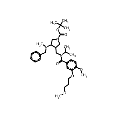 COCCCOc1cc(C(=O)N(CC2CN(C(=O)OC(C)(C)C)CC2N(C)Cc2ccccc2)C(C)C)ccc1OC